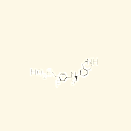 O=C(O)CCc1ccc(-c2nc(-c3ccc4c(c3)CCNCC4)cs2)cc1F